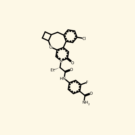 CC[C@@H](C(=O)Nc1ccc(C(N)=O)c(F)c1)n1cc2c(cc1=O)-c1cc(Cl)ccc1CC1CCC1O2